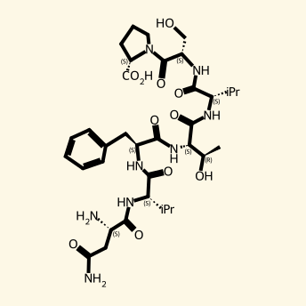 CC(C)[C@H](NC(=O)[C@@H](NC(=O)[C@H](Cc1ccccc1)NC(=O)[C@@H](NC(=O)[C@@H](N)CC(N)=O)C(C)C)[C@@H](C)O)C(=O)N[C@@H](CO)C(=O)N1CCC[C@H]1C(=O)O